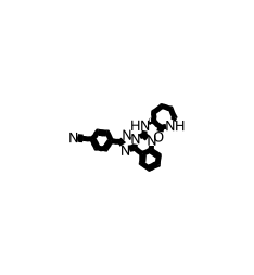 N#Cc1ccc(-c2nc3c4ccccc4nc(N[C@H]4CCCCNC4=O)n3n2)cc1